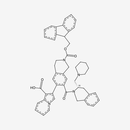 O=C(O)c1c(-c2cc3c(cc2C(=O)N2Cc4ccccc4C[C@H]2CN2CCCCC2)CN(C(=O)OCC2c4ccccc4-c4ccccc42)CC3)cn2ccccc12